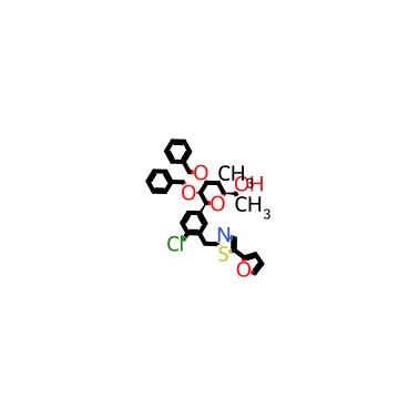 CC(O)[C@H]1O[C@@H](c2ccc(Cl)c(Cc3ncc(-c4ccco4)s3)c2)[C@H](OCc2ccccc2)[C@@H](OCc2ccccc2)[C@@H]1C